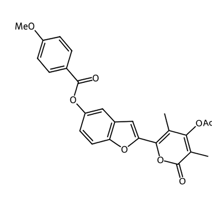 COc1ccc(C(=O)Oc2ccc3oc(-c4oc(=O)c(C)c(OC(C)=O)c4C)cc3c2)cc1